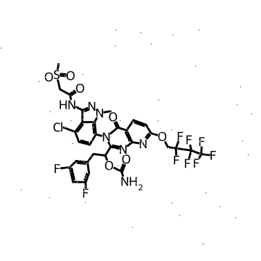 Cn1nc(NC(=O)CS(C)(=O)=O)c2c(Cl)ccc(-n3c(C(Cc4cc(F)cc(F)c4)OC(N)=O)nc4nc(OCC(F)(F)C(F)(F)C(F)(F)F)ccc4c3=O)c21